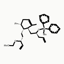 C=CC[C@@H](C[C@@H]1C(C)=CC[C@@H](C(C)C)[C@H]1CC[C@H](C=C)OCOC)O[Si](c1ccccc1)(c1ccccc1)C(C)(C)C